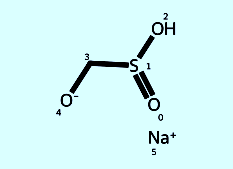 O=S(O)C[O-].[Na+]